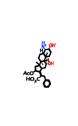 CC(=O)O[C@H]1C[C@@]2(C)C(C[C@@H](O)[C@H]3[C@@]4(C)CC[C@@H](O)[C@@H](N)[C@@H]4CC[C@@]32C)/C1=C(\Cc1ccccc1)C(=O)O